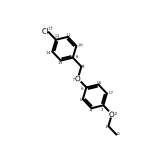 CCOc1ccc(OCc2ccc(Cl)cc2)cc1